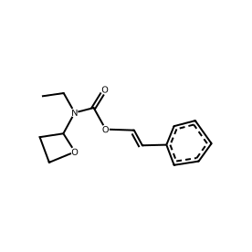 CCN(C(=O)OC=Cc1ccccc1)C1CCO1